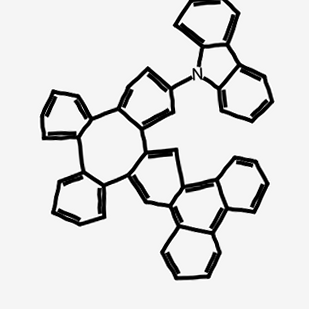 c1ccc2c(c1)-c1ccccc1-c1cc3c4ccccc4c4ccccc4c3cc1-c1cc(-n3c4ccccc4c4ccccc43)ccc1-2